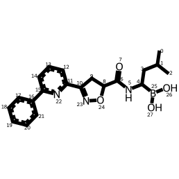 CC(C)CC(NC(=O)C1CC(c2cccc(-c3ccccc3)n2)=NO1)B(O)O